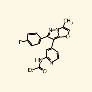 CCC(=O)Nc1cc(-c2c(-c3ccc(F)cc3)nn3c(C)coc23)ccn1